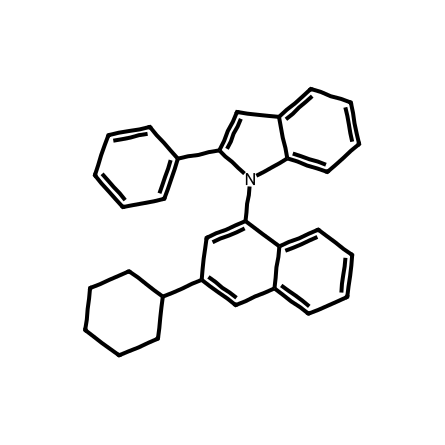 c1ccc(-c2cc3ccccc3n2-c2cc(C3CCCCC3)cc3ccccc23)cc1